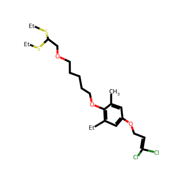 CCSC(COCCCCCOc1c(C)cc(OCC=C(Cl)Cl)cc1CC)SCC